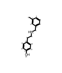 Cc1cccc(CNCCc2ccc(O)cc2)c1